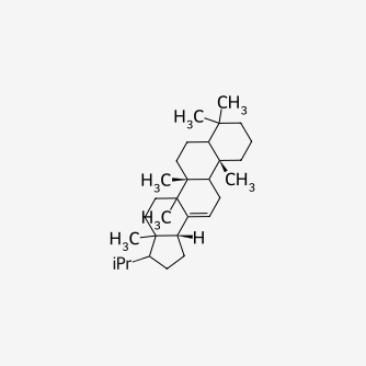 CC(C)C1CC[C@H]2C3=CCC4[C@@]5(C)CCCC(C)(C)C5CC[C@@]4(C)C3(C)CCC12C